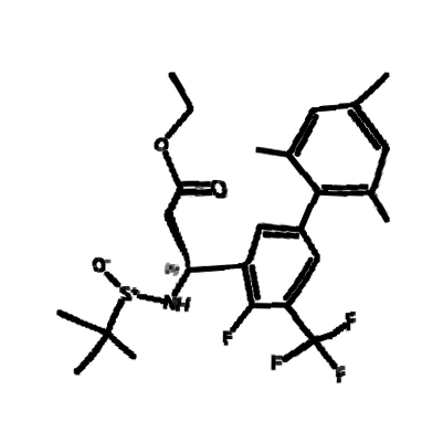 CCOC(=O)C[C@H](N[S+]([O-])C(C)(C)C)c1cc(-c2c(C)cc(C)cc2C)cc(C(F)(F)F)c1F